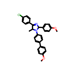 COc1ccc(-c2ccc(N3C(C)C(c4ccc(Cl)cc4)=NC3c3ccc(OC)cc3)cc2)cc1